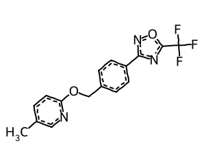 Cc1ccc(OCc2ccc(-c3noc(C(F)(F)F)n3)cc2)nc1